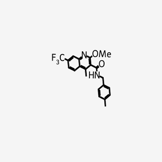 COc1nc2cc(C(F)(F)F)ccc2c(C)c1C(=O)NCc1ccc(C)cc1